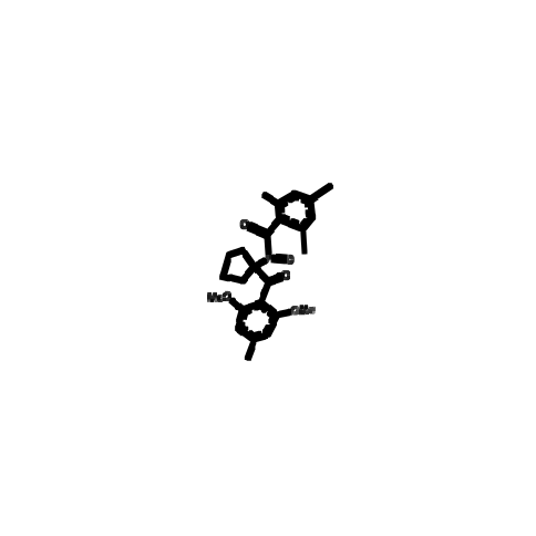 COc1cc(C)cc(OC)c1C(=O)C1([P](=O)C(=O)c2c(C)cc(C)cc2C)CCCC1